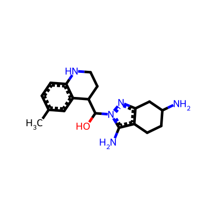 Cc1ccc2c(c1)C(C(O)n1nc3c(c1N)CCC(N)C3)CCN2